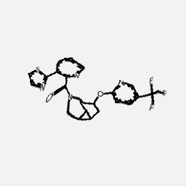 O=C(c1ncccc1-c1nccs1)N1CC2C3CC(Oc4ccc(C(F)(F)F)cn4)C1C32